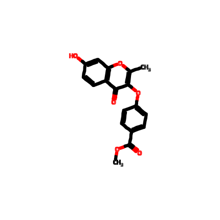 COC(=O)c1ccc(Oc2c(C)oc3cc(O)ccc3c2=O)cc1